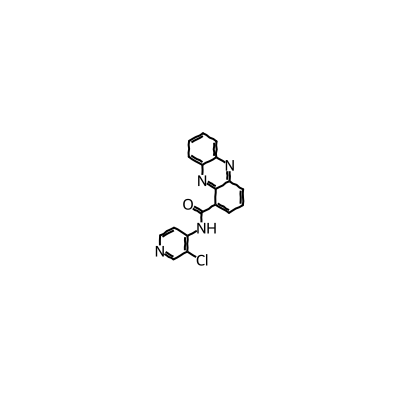 O=C(Nc1ccncc1Cl)c1cccc2nc3ccccc3nc12